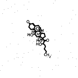 [CH2]CCCC(O)C(=O)[C@@]1(O)CC[C@H]2[C@@H]3CCC4=CC(=O)CC[C@]4(C)[C@H]3[C@@H](O)C[C@@]21C